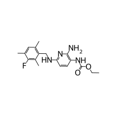 CCOC(=O)Nc1ccc(NCc2c(C)cc(C)c(F)c2C)nc1N